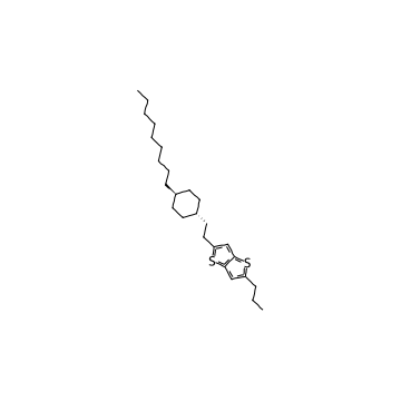 CCCCCCCCC[C@H]1CC[C@H](CCc2cc3sc(CCC)cc3s2)CC1